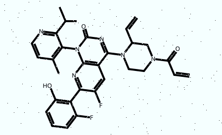 C=CC(=O)N1CCN(c2nc(=O)n(-c3c(C)ccnc3C(C)C)c3nc(-c4c(O)cccc4F)c(F)cc23)C(C=C)C1